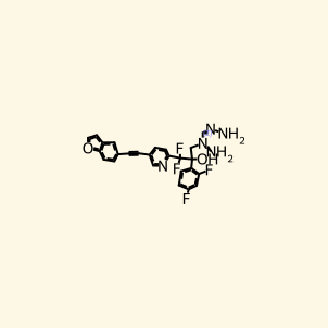 N/N=C\N(N)CC(O)(c1ccc(F)cc1F)C(F)(F)c1ccc(C#Cc2ccc3occc3c2)cn1